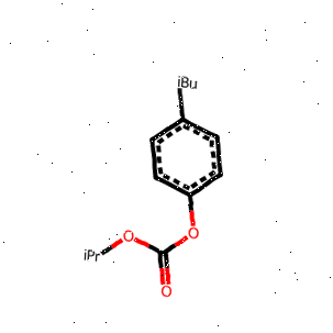 CCC(C)c1ccc(OC(=O)OC(C)C)cc1